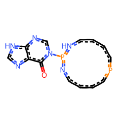 O=c1c2nc[nH]c2ncn1-p1nccccpcccc[nH]1